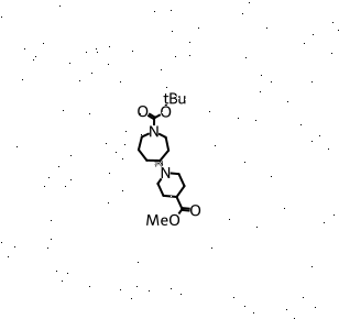 COC(=O)C1CCN([C@@H]2CCCN(C(=O)OC(C)(C)C)CC2)CC1